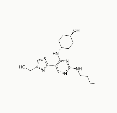 CCCCNc1ncc(-c2nc(CO)cs2)c(N[C@H]2CC[C@H](O)CC2)n1